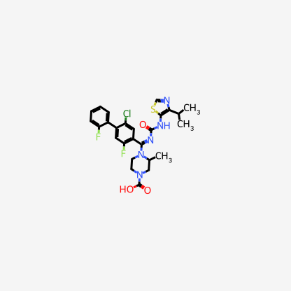 CC(C)c1ncsc1NC(=O)/N=C(\c1cc(Cl)c(-c2ccccc2F)cc1F)N1CCN(C(=O)O)CC1C